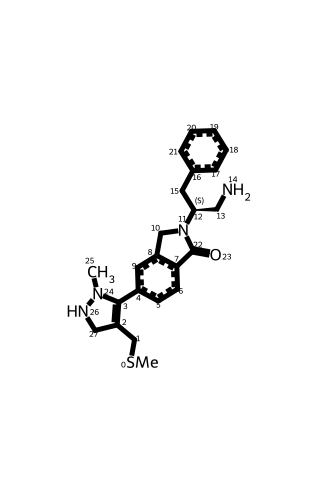 CSCC1=C(c2ccc3c(c2)CN([C@H](CN)Cc2ccccc2)C3=O)N(C)NC1